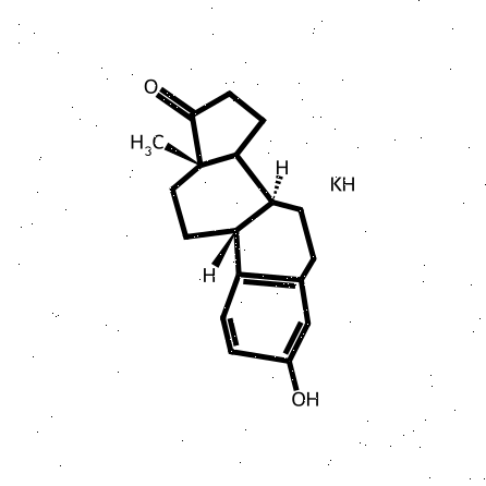 C[C@]12CC[C@H]3c4ccc(O)cc4CC[C@@H]3C1CCC2=O.[KH]